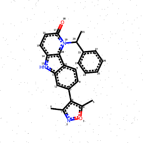 Cc1noc(C)c1-c1ccc2c(c1)[nH]c1ccc(=O)n(C(C)c3ccccc3)c12